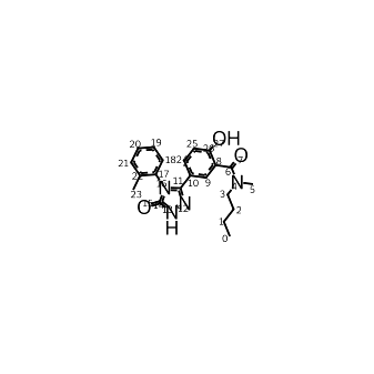 CCCCN(C)C(=O)c1cc(-c2n[nH]c(=O)n2-c2ccccc2C)[c]cc1O